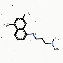 Cc1cc(C)c2cccc(NCCCN(C)C)c2c1